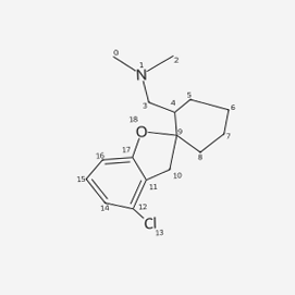 CN(C)CC1CCCCC12Cc1c(Cl)cccc1O2